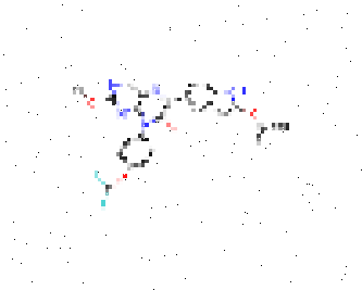 CCOc1ncc2nc(-c3ccc4[nH]c(O[Si](C)(C)C(C)(C)C)cc4c3)c(=O)n(-c3ccc(OC(F)F)cc3)c2n1